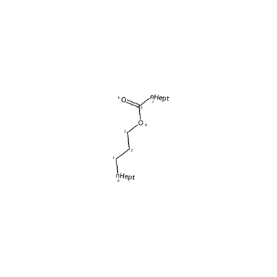 CCCCCCCCCCOC(=O)CCCCCCC